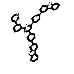 c1cncc(-c2cccc(-c3nc(-c4ccc(-c5ccc6c(c5)sc5ccccc56)cc4)cc(-c4ccc(-c5ccc6oc7ccccc7c6c5)cc4)n3)c2)c1